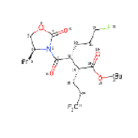 CC(C)[C@H]1COC(=O)N1C(=O)[C@H](CCCF)[C@@H](CCC(F)(F)F)C(=O)OC(C)(C)C